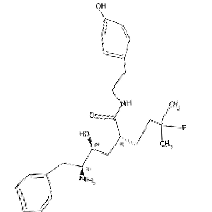 CC(C)(F)CC[C@H](C[C@H](O)[C@@H](N)Cc1ccccc1)C(=O)NCCc1ccc(O)cc1